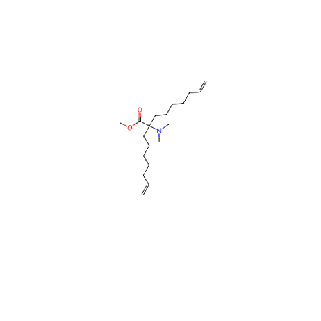 C=CCCCCCC(CCCCCC=C)(C(=O)OC)N(C)C